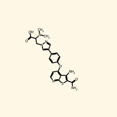 CN(C)C(Cn1cc(-c2ccc(Oc3ccnc4sc(C(N)=O)c(N)c34)cc2)cn1)C(=O)O